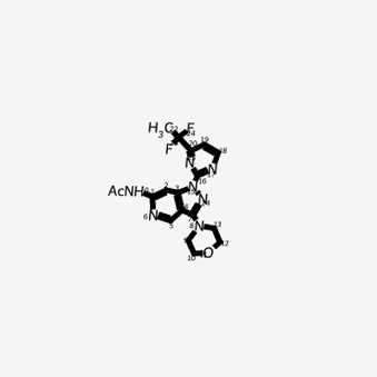 CC(=O)Nc1cc2c(cn1)c(N1CCOCC1)nn2-c1nccc(C(C)(F)F)n1